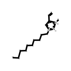 C=Cc1cn(CCCCCCCCCC)n[n+]1C